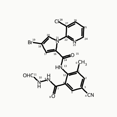 Cc1cc(C#N)cc(C(=O)NNC=O)c1NC(=O)c1cc(Br)cn1-c1ncccc1Cl